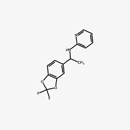 CC(Nc1ccccn1)c1ccc2c(c1)OC(F)(F)O2